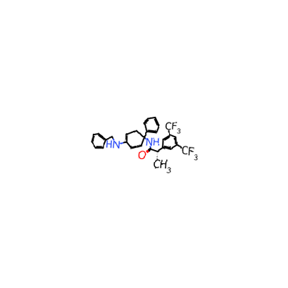 C[C@H](C(=O)NC1(c2ccccc2)CCC(NCc2ccccc2)CC1)c1cc(C(F)(F)F)cc(C(F)(F)F)c1